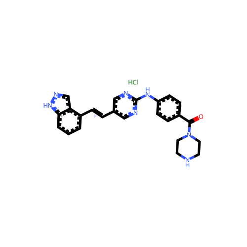 Cl.O=C(c1ccc(Nc2ncc(/C=C/c3cccc4[nH]ncc34)cn2)cc1)N1CCNCC1